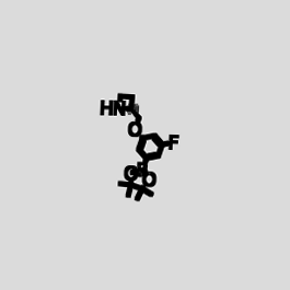 CC1(C)OB(c2cc(F)cc(OC[C@@H]3CCN3)c2)OC1(C)C